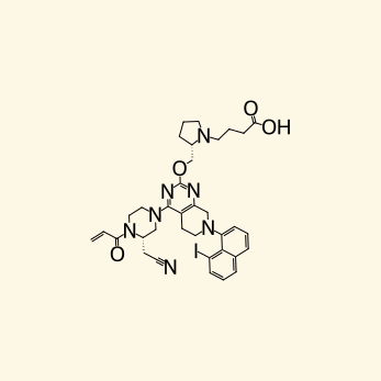 C=CC(=O)N1CCN(c2nc(OC[C@@H]3CCCN3CCCC(=O)O)nc3c2CCN(c2cccc4cccc(I)c24)C3)C[C@@H]1CC#N